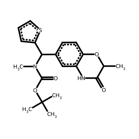 CC1Oc2ccc(C(c3cccs3)N(C)C(=O)OC(C)(C)C)cc2NC1=O